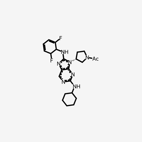 CC(=O)N1CC[C@@H](n2c(NC3C(F)=CC=CC3F)nc3cnc(NC4CCCCC4)nc32)C1